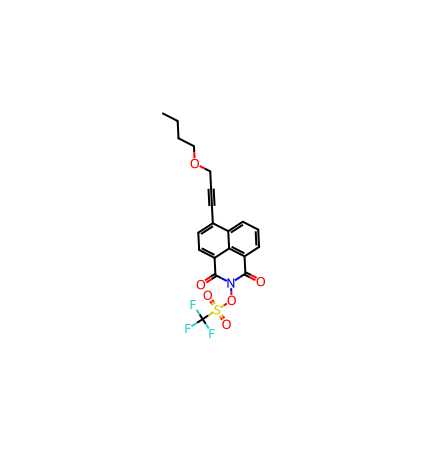 CCCCOCC#Cc1ccc2c3c(cccc13)C(=O)N(OS(=O)(=O)C(F)(F)F)C2=O